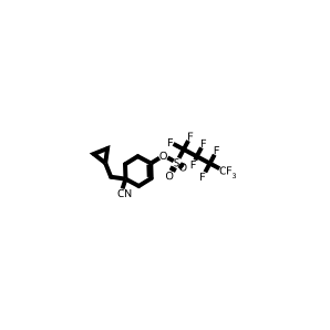 N#CC1(CC2CC2)CC=C(OS(=O)(=O)C(F)(F)C(F)(F)C(F)(F)C(F)(F)F)CC1